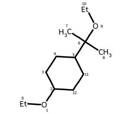 CCOC1CCC(C(C)(C)OCC)CC1